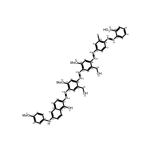 COc1ccc(Nc2ccc3c(O)c(N=Nc4cc(CO)c(N=Nc5cc(CO)c(N=Nc6ccc(N=Nc7ccccc7S(=O)(=O)O)c(C)c6)cc5OC)cc4OC)ccc3c2)cc1